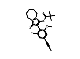 CC#Cc1cc(Cl)c(-c2c(OC(=O)C(C)(C)C)n3n(c2=O)CCCCC3)c(OC)c1